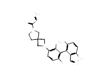 C=CC(=O)N1CCC2(C1)CN(c1ccc(F)c(-c3c(C)ccc4[nH]ncc34)c1C#N)C2